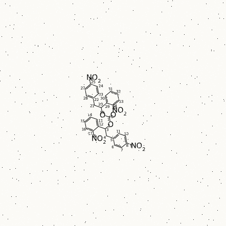 O=C(OC(Cc1ccc([N+](=O)[O-])cc1)c1ccccc1[N+](=O)[O-])OC(Cc1ccc([N+](=O)[O-])cc1)c1ccccc1[N+](=O)[O-]